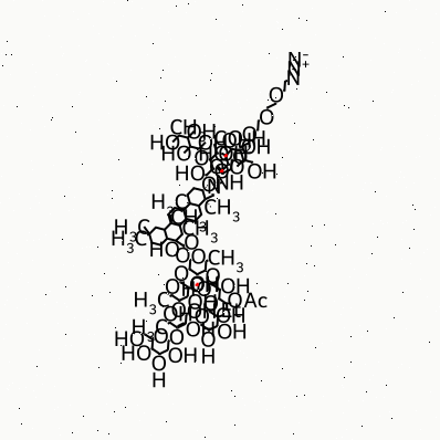 CCC(OC(C)=O)C(OC1OCC(O)C(O)C1O)C(O)C(O)OC1C(C)OC(OC(=O)[C@@]2(O)C[C@]3(C)C(=CCC4[C@@]5(C)CC[C@H](OC(O)C(OC6OC(CO)C(O)C(O)C6O)C(OC(O)C(O)C(O)C(C)O)C(O)CC(=O)O)[C@@](C)(/C=N/NC(=O)CCOCCOCCOCCOCCN=[N+]=[N-])C5CC[C@]43C)C3CC(C)(C)CCC32)C(OC2OC(C)C(OC(O)/C(O)=C(/OC3OC(CO)C(O)C(O)C3O)C(C)O)C(O)C2O)C1O